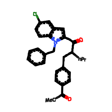 CCCC(Cc1ccc(C(=O)OC)cc1)C(=O)c1cc2cc(Cl)ccc2n1Cc1ccccc1